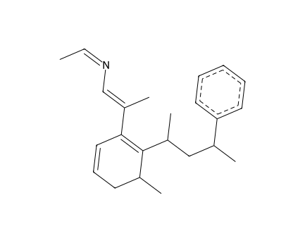 C/C=N\C=C(/C)C1=C(C(C)CC(C)c2ccccc2)C(C)CC=C1